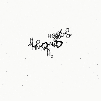 CNCC(=O)Nc1ccc(/N=N/c2ccccc2OP(=O)(O)OC(C)OC(=O)OC)c(N)n1